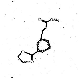 COC(=O)C=Cc1cccc(C2OCCO2)c1